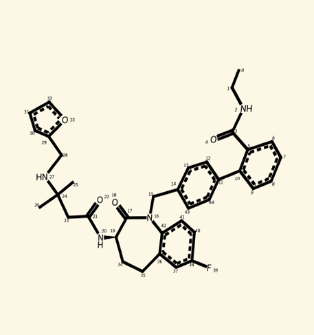 CCNC(=O)c1ccccc1-c1ccc(CN2C(=O)[C@H](NC(=O)CC(C)(C)NCc3ccco3)CCc3cc(F)ccc32)cc1